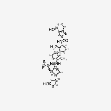 Cc1c(NC(=O)c2cc3n(n2)CCCC3O)cccc1-c1cccc(Nc2nc(C(F)F)nc3cc(CN4CC[C@@H](O)C4)cnc23)c1C